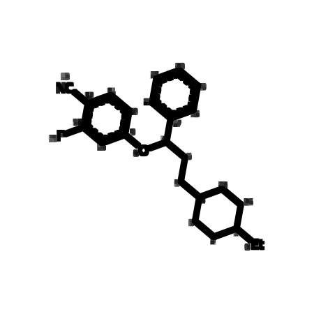 CCC1CCC(CCC(Oc2ccc(C#N)c(F)c2)c2ccccc2)CC1